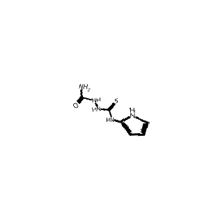 NC(=O)NNC(=S)Nc1ccc[nH]1